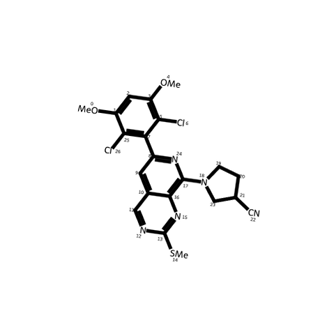 COc1cc(OC)c(Cl)c(-c2cc3cnc(SC)nc3c(N3CCC(C#N)C3)n2)c1Cl